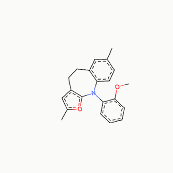 COc1ccccc1N1c2ccc(C)cc2CCc2cc(C)oc21